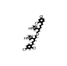 Clc1ccc(CCCC(CCOCCC(CCCc2ccc(Cl)cc2Cl)c2c[nH]cn2)c2c[nH]cn2)c(Cl)c1